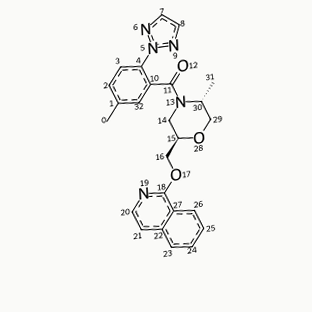 Cc1ccc(-n2nccn2)c(C(=O)N2C[C@H](COc3nccc4ccccc34)OC[C@H]2C)c1